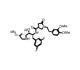 CCCCO[C@H]1CN[C@@H]([C@@H](O)[C@H](Cc2cc(F)cc(F)c2)NC(=O)C2CC(=O)N(CCc3ccc(OC)c(OC)c3)C2)C1